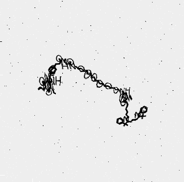 CCCn1c(=O)c2nc(C34CCC(CCC(=O)N(C)CC(=O)NCCOCCOCCOCCOCCOCCOCCNC(=O)CN(CC)C(=O)CCCCCN5/C(=C\C=C\C6=[N+](C)c7ccccc7C6(C)C)C(C)(C)c6ccccc65)(CC3)CC4)[nH]c2n(CCC)c1=O